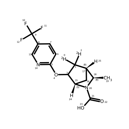 [2H]C1([2H])C(Oc2ccc(C(F)(F)F)cn2)[C@@H]2C[C@H]1[C@@H](C)N2C(=O)O